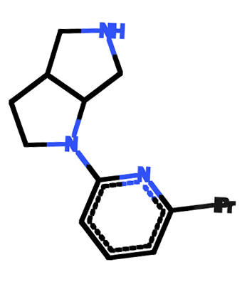 CC(C)c1cccc(N2CCC3CNCC32)n1